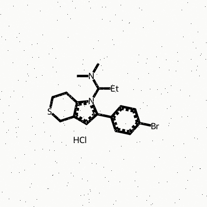 CCC(N(C)C)n1c(-c2ccc(Br)cc2)cc2c1CCSC2.Cl